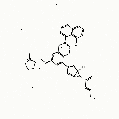 C/C=C/C(=O)[C@@H]1C2=CN(c3nc(OC[C@@H]4CCCN4C)nc4c3CCN(c3cccc5cccc(Cl)c35)C4)C[C@H]21